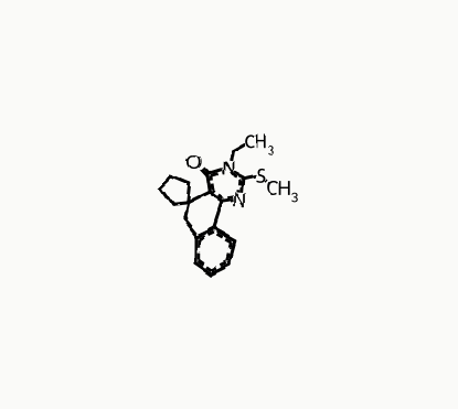 CCn1c(SC)nc2c(c1=O)C1(CCCC1)Cc1ccccc1-2